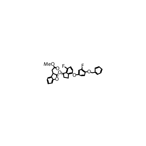 COC(=O)CC1c2ccccc2O[C@@H]1O[C@@H]1CCc2c(Oc3ccc(OCc4ccccc4)c(F)c3)ccc(F)c21